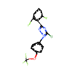 Fc1cccc(F)c1-c1nc(Cl)n(-c2ccc(OC(F)(F)F)cc2)n1